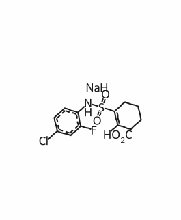 O=C(O)C1=C(S(=O)(=O)Nc2ccc(Cl)cc2F)CCCC1.[NaH]